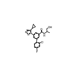 CC(CO)NC(=O)c1cc(-c2ccc(F)cc2Cl)cc(-n2nnnc2C2CC2)c1